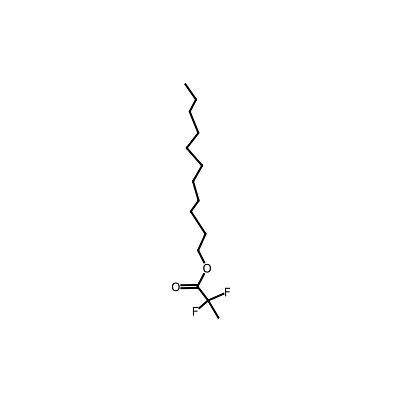 CCCCCCCCCCCOC(=O)C(C)(F)F